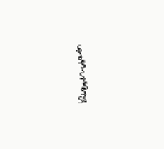 C(CSSCC1CS1)SCCSSCC1CS1